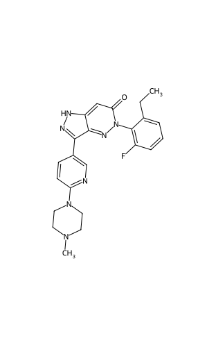 CCc1cccc(F)c1-n1nc2c(-c3ccc(N4CCN(C)CC4)nc3)n[nH]c2cc1=O